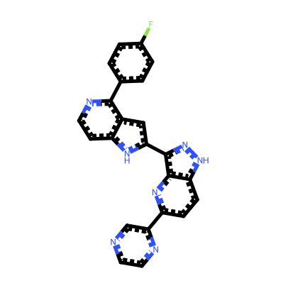 Fc1ccc(-c2nccc3[nH]c(-c4n[nH]c5ccc(-c6cnccn6)nc45)cc23)cc1